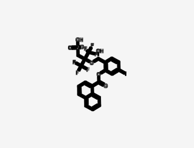 O=C(Oc1cc(I)ccc1[C@@H](O)OC(CS(=O)(=O)O)(C(F)(F)F)C(F)(F)F)c1cccc2ccccc12